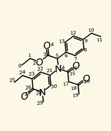 CCOC(=O)C(c1ccc(CC)cc1)N(C(=O)CC(C)=O)c1cc(CC)c(=O)n(C)c1